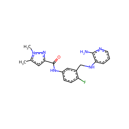 Cc1cc(C(=O)Nc2ccc(F)c(CNc3cccnc3N)c2)nn1C